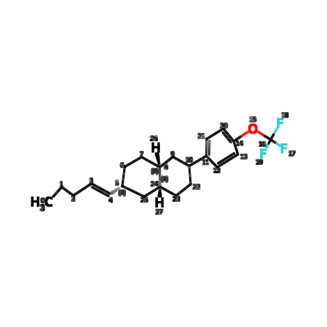 CCCC=C[C@@H]1CC[C@@H]2CC(c3ccc(OC(F)(F)F)cc3)CC[C@@H]2C1